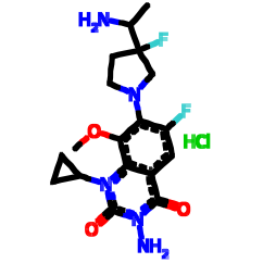 COc1c(N2CCC(F)(C(C)N)C2)c(F)cc2c(=O)n(N)c(=O)n(C3CC3)c12.Cl